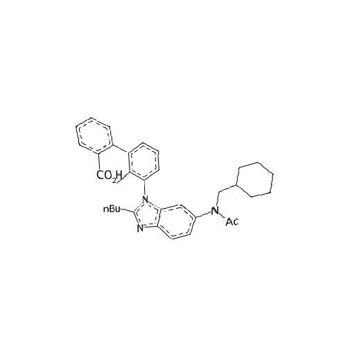 CCCCc1nc2ccc(N(CC3CCCCC3)C(C)=O)cc2n1-c1cccc(-c2ccccc2C(=O)O)c1C